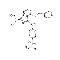 CC(CC#N)n1nc(Nc2ccc(S(=O)(=O)N(C)C)cc2)c2c(OCc3ccccc3)nccc21